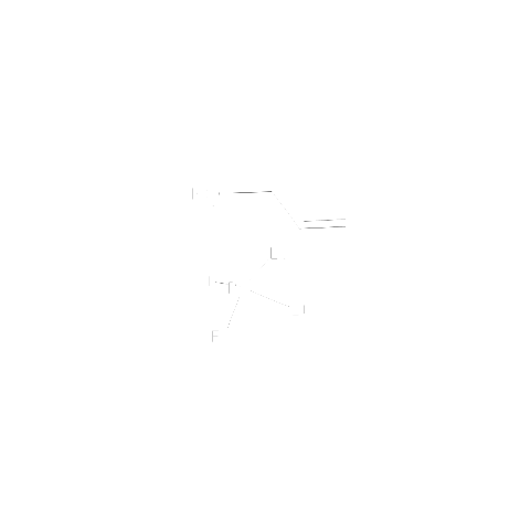 C=CCC(=O)O.C[CH2][Pb]([CH2]C)([CH2]C)[CH2]C